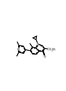 CCOC(=O)c1cn(C2CC2)c2c(C)c(-c3cc(C)nc(C)c3)ccc2c1=O